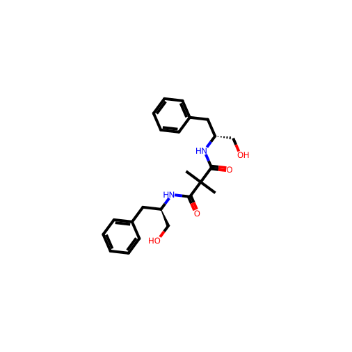 CC(C)(C(=O)N[C@@H](CO)Cc1ccccc1)C(=O)N[C@@H](CO)Cc1ccccc1